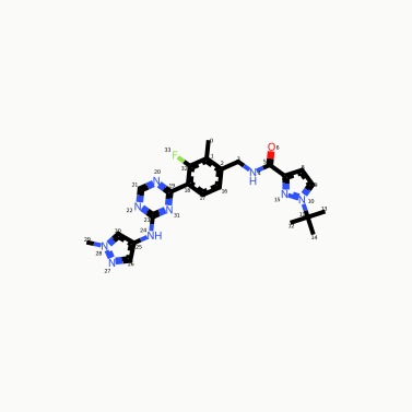 Cc1c(CNC(=O)c2ccn(C(C)(C)C)n2)ccc(-c2ncnc(Nc3cnn(C)c3)n2)c1F